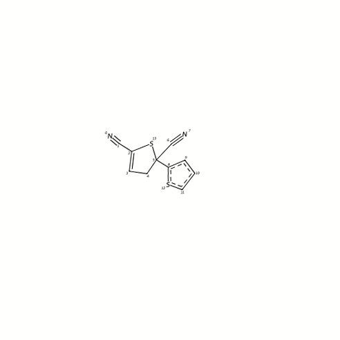 N#CC1=CCC(C#N)(c2cccs2)S1